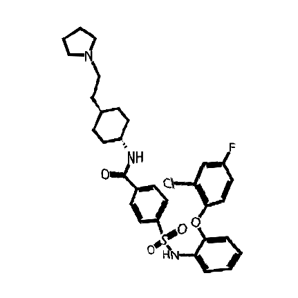 O=C(N[C@H]1CC[C@H](CCN2CCCC2)CC1)c1ccc(S(=O)(=O)Nc2ccccc2Oc2ccc(F)cc2Cl)cc1